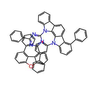 c1ccc(-c2cccc(-n3c4cccc(-c5ccccc5)c4c4ccc5c6ccccc6n(-c6nc(-c7ccccc7)nc(-c7cccc8oc9cccc(-c%10ccccc%10)c9c78)n6)c5c43)c2)cc1